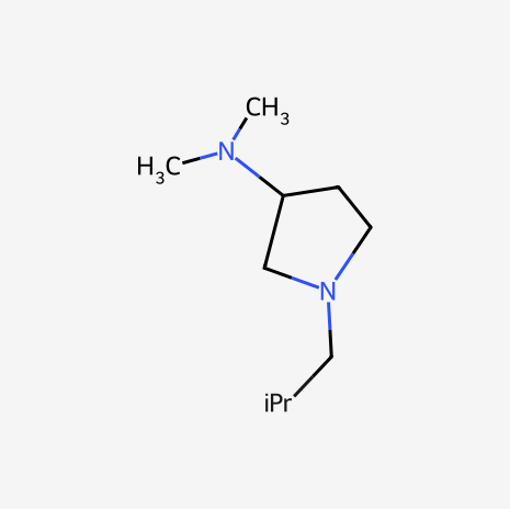 CC(C)CN1CCC(N(C)C)C1